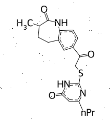 CCCc1cc(=O)[nH]c(SCC(=O)c2ccc3c(c2)CCC(C)C(=O)N3)n1